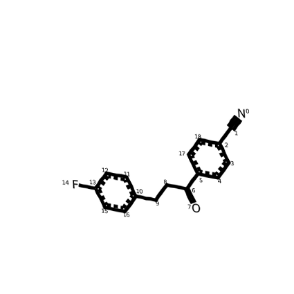 N#Cc1ccc(C(=O)CCc2ccc(F)cc2)cc1